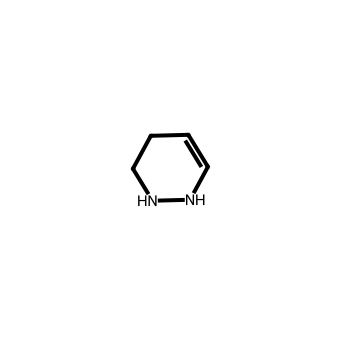 C1=CNNCC1